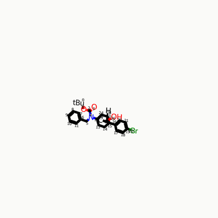 CC(C)(C)OC(=O)N(Cc1ccccc1)C12CCC(c3ccc(Br)cc3)(CC1)[C@@H](O)C2